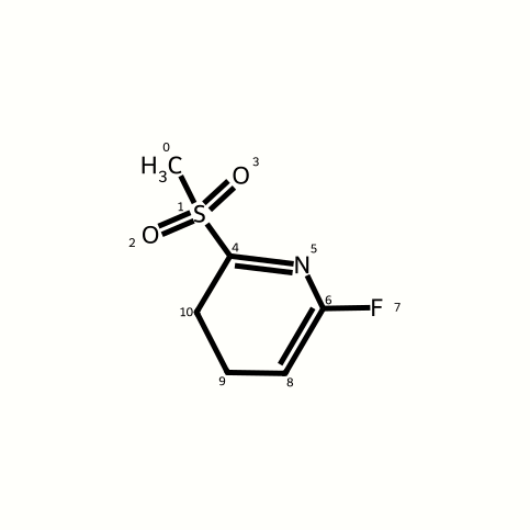 CS(=O)(=O)C1=NC(F)=CCC1